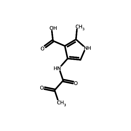 CC(=O)C(=O)Nc1c[nH]c(C)c1C(=O)O